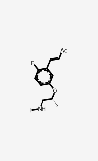 CC(=O)/C=C/c1cc(O[C@H](C)CNI)ccc1F